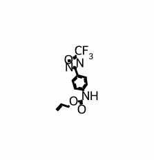 C=CCOC(=O)Nc1ccc(-c2noc(C(F)(F)F)n2)cc1